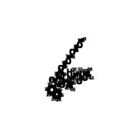 [CH2]COCCOCCOCCO[C@H]1C[C@@H](C(=O)N[C@@H]2CCCc3ccccc32)N(C(=O)[C@@H](NC[C@H](C)N(C)C(=O)OC(C)(C)C)C(C)(C)C)C1